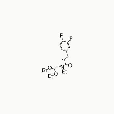 CCOC(CN(CC)C(=O)[CH]Cc1ccc(F)c(F)c1)OCC